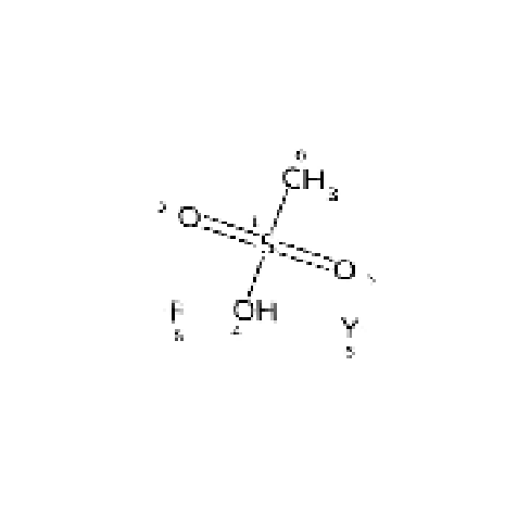 CS(=O)(=O)O.[F].[Y]